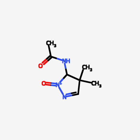 CC(=O)NC1[N+](=O)N=CC1(C)C